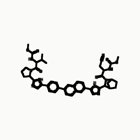 COC(=O)NC(CC#N)C(=O)N1C2CCC(C2)C1c1ncc(-c2ccc3cc(-c4ccc(-c5cnc(C6CCCN6C(=O)C(NC(=O)OC)C(C)C)[nH]5)cc4)ccc3c2)[nH]1